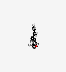 CC[C@@]1(c2cc(-c3cc(-c4cnc(OC)cn4)no3)ccc2F)CS(=O)(=NC)C2(CCCC2)C(N)=N1